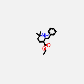 CCOC(=O)C1=CCC(C)(C)NC1Cc1ccccc1